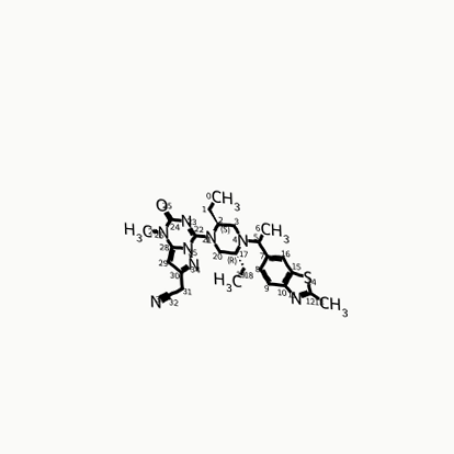 CC[C@H]1CN(C(C)c2ccc3nc(C)sc3c2)[C@H](CC)CN1c1nc(=O)n(C)c2cc(CC#N)nn12